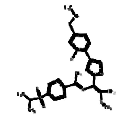 C=N/C(N)=C(\N=C(/C)c1ccc(S(=O)(=O)C(C)C)cc1)c1cc(-c2ccc(CNC)cc2F)no1